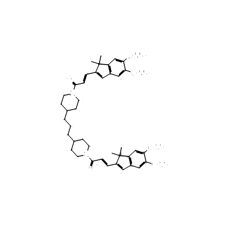 COc1cc2c(cc1OC)C(C)(C)C(C=CC(=O)N1CCC(CCCC3CCN(C(=O)C=CC4=Cc5cc(OC)c(OC)cc5C4(C)C)CC3)CC1)=C2